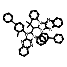 Cc1cc(-c2ccccc2)ccc1N1c2nc3ccccc3nc2N(c2ccc(-c3ccccc3)cc2)C1C1C2N(c3ccccc3)c3nc4ccccc4nc3N2c2ccccc2C1(C)C